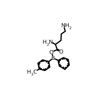 Cc1ccc(B(OC(=O)C(N)CCCN)c2ccccc2)cc1